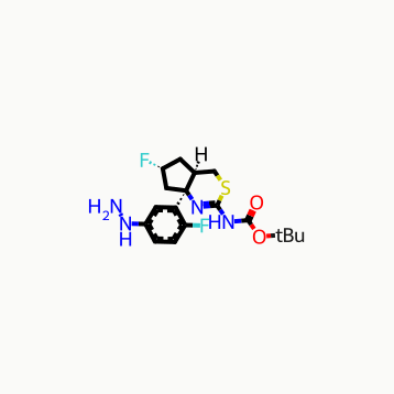 CC(C)(C)OC(=O)NC1=N[C@@]2(c3cc(NN)ccc3F)C[C@H](F)C[C@H]2CS1